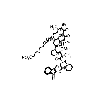 CC[C@H](C)[C@@H]([C@@H](CC(=O)N1CCC[C@H]1[C@H](OC)[C@@H](C)C(=O)N[C@@H](Cc1c[nH]c2ccccc12)C(=O)N1CCCCO1)OC)N(C)[C@H](C(=O)NC(=O)[C@H](C(C)C)N(C)CCOCCOCCOCCC(=O)O)C(C)C